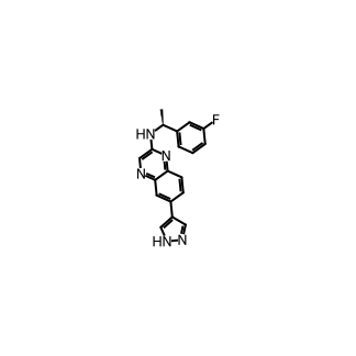 C[C@H](Nc1cnc2cc(-c3cn[nH]c3)ccc2n1)c1cccc(F)c1